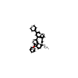 COc1ccc(CN2C3CC2CN(c2ncc(-c4cc(C5=CCOCC5)cn5ncc(C#N)c45)nn2)C3)cn1